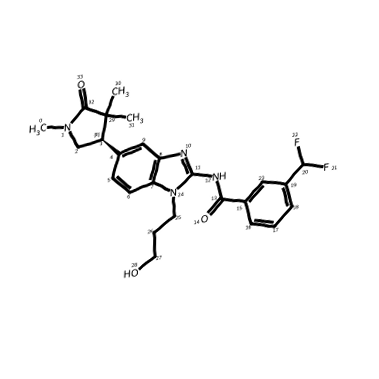 CN1C[C@H](c2ccc3c(c2)nc(NC(=O)c2cccc(C(F)F)c2)n3CCCO)C(C)(C)C1=O